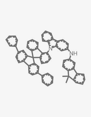 CC1(C)c2ccccc2-c2cc(Nc3ccc4c5ccccc5n(-c5cccc6c5-c5ccccc5C65c6cc(-c7ccccc7)ccc6-c6ccc(-c7ccccc7)cc65)c4c3)ccc21